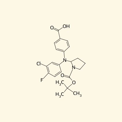 CC(C)(C)OC(=O)N1CCCC1N(c1ccc(C(=O)O)cc1)c1ccc(F)c(Cl)c1